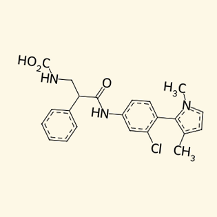 Cc1ccn(C)c1-c1ccc(NC(=O)C(CNC(=O)O)c2ccccc2)cc1Cl